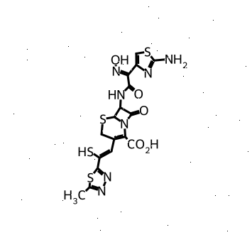 Cc1nnc(C(S)=CC2=C(C(=O)O)N3C(=O)C(NC(=O)C(=NO)c4csc(N)n4)C3SC2)s1